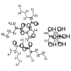 CCCCC(CC)C(=O)OC[C@@H](OC(=O)C(CC)CCCC)[C@H]1OC[C@H](OC(=O)C(CC)CCCC)[C@H]1OC(=O)C(CC)CCCC.OCC(O)CO.OCC(O)CO